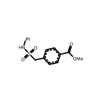 COC(=O)c1ccc(CS(=O)(=O)NC(C)C)cc1